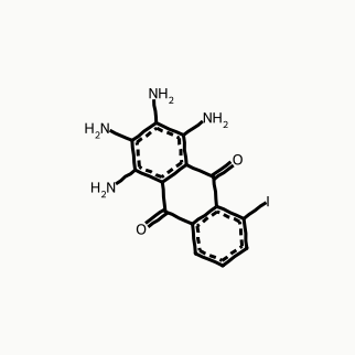 Nc1c(N)c(N)c2c(c1N)C(=O)c1cccc(I)c1C2=O